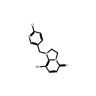 N#Cc1ccc(=O)n2c1N(Cc1ccc(Cl)nc1)CC2